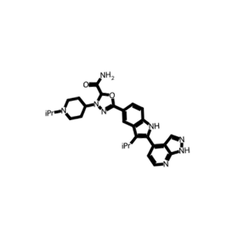 CC(C)c1c(-c2ccnc3[nH]ncc23)[nH]c2ccc(C3=NN(C4CCN(C(C)C)CC4)C(C(N)=O)O3)cc12